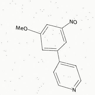 COc1cc(N=O)cc(-c2ccncc2)c1